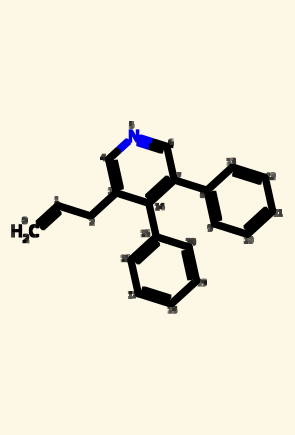 C=CCc1cn[c]c(-c2ccccc2)c1-c1ccccc1